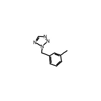 Cc1cccc(Cn2ncnn2)c1